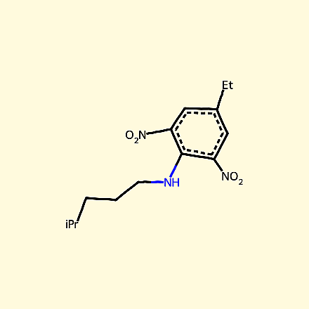 CCc1cc([N+](=O)[O-])c(NCCCC(C)C)c([N+](=O)[O-])c1